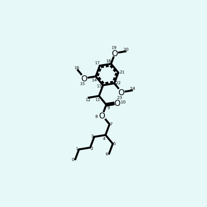 CCCCC(CC)COC(=O)C(C)c1c(OC)cc(OC)cc1OC